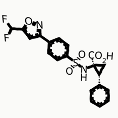 O=C(O)[C@]1(NS(=O)(=O)c2ccc(-c3cc(C(F)F)on3)cc2)C[C@@H]1c1ccccc1